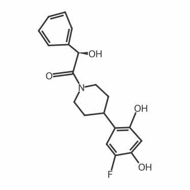 O=C([C@H](O)c1ccccc1)N1CCC(c2cc(F)c(O)cc2O)CC1